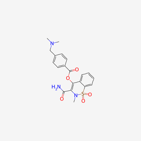 CN(C)Cc1ccc(C(=O)OC2=C(C(N)=O)N(C)S(=O)(=O)c3ccccc32)cc1